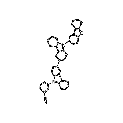 N#Cc1cccc(-n2c3ccccc3c3cc(-c4ccc5c(c4)c4ccccc4n5-c4ccc5oc6ccccc6c5c4)ccc32)c1